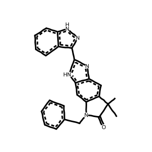 CC1(C)C(=O)N(Cc2ccccc2)c2cc3[nH]c(-c4n[nH]c5ccccc45)nc3cc21